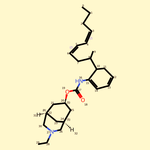 CCC/C=C\C=C/CC(C)C1CC=CC=C1NC(=O)O[C@@H]1C[C@H]2C[C@@H](C1)CN(CC)C2